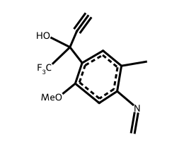 C#CC(O)(c1cc(C)c(N=C)cc1OC)C(F)(F)F